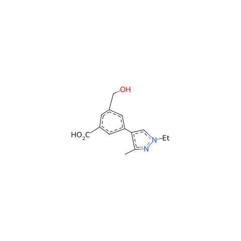 CCn1cc(-c2cc(CO)cc(C(=O)O)c2)c(C)n1